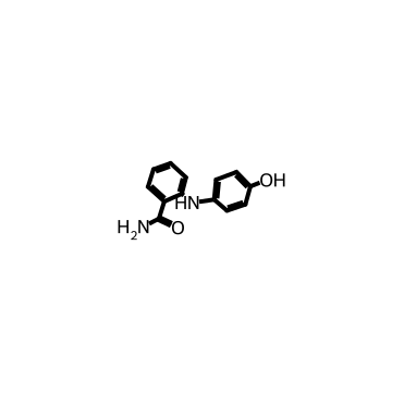 NC(=O)c1ccccc1Nc1ccc(O)cc1